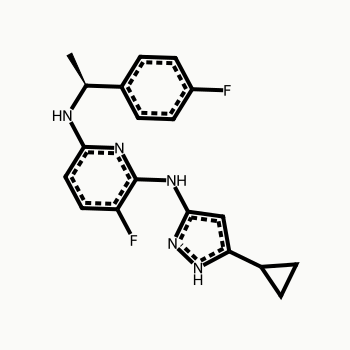 C[C@H](Nc1ccc(F)c(Nc2cc(C3CC3)[nH]n2)n1)c1ccc(F)cc1